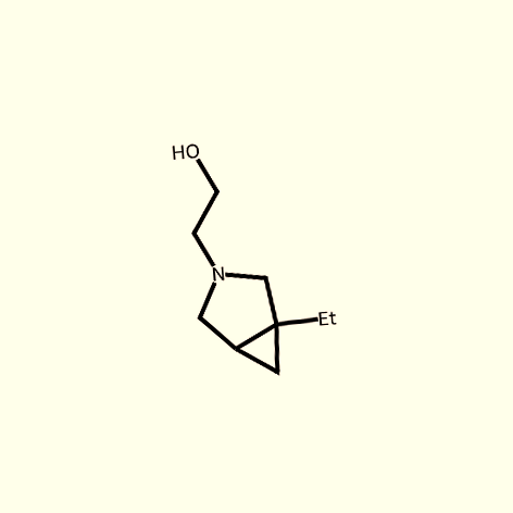 CCC12CC1CN(CCO)C2